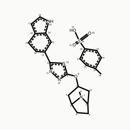 CN1C2CCC1CC(Oc1nnc(-c3ccc4cc[nH]c4c3)s1)C2.Cc1ccc(S(=O)(=O)O)cc1